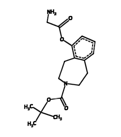 CC(C)(C)OC(=O)N1CCc2cccc(OC(=O)CN)c2CC1